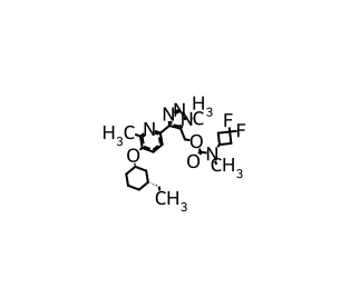 CC[C@@H]1CCC[C@H](Oc2ccc(-c3nnn(C)c3COC(=O)N(C)C3CC(F)(F)C3)nc2C)C1